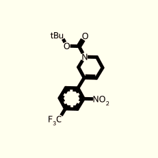 CC(C)(C)OC(=O)N1CCC=C(c2ccc(C(F)(F)F)cc2[N+](=O)[O-])C1